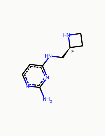 Nc1nccc(NC[C@@H]2CCN2)n1